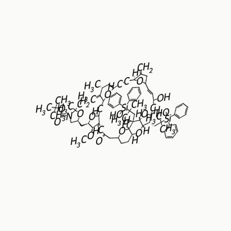 C=C1C2C[C@@H]3O[C@H](C[C@H]4CN(C(=O)OC(C)(C)C)C(C)(C)O4)[C@H](OC)[C@H]3CC(=O)CC3CC[C@@H]4O[C@H]5[C@@H](CC(C)(C)[Si](O)(c6ccccc6)c6ccccc6)[C@@H](CC(O)/C=C/C6CC(=C)[C@H](CC[C@@H](C[C@H]1C)O2)O6)O[C@H]5[C@@H](CC(C)(C)[Si](O)(c1ccccc1)c1ccccc1)[C@H]4O3